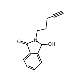 C#CCCCN1C(=O)c2ccccc2C1O